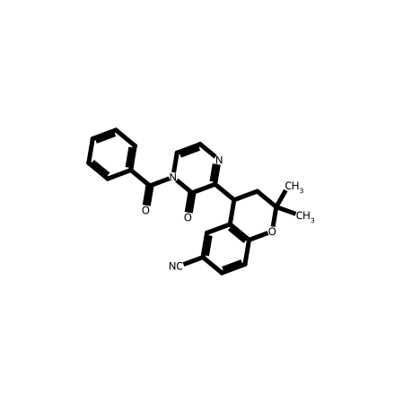 CC1(C)CC(c2nccn(C(=O)c3ccccc3)c2=O)c2cc(C#N)ccc2O1